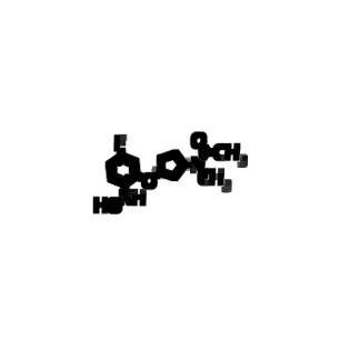 CC(=O)N(C)[C@H]1CC[C@H](Oc2cc(F)ccc2NO)C1